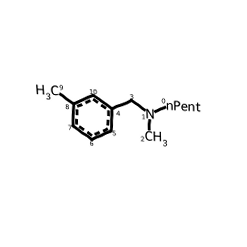 CCCCCN(C)Cc1cccc(C)c1